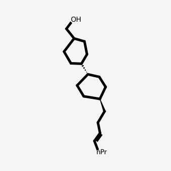 CCC/C=C/CC[C@H]1CC[C@H](C2CCC(CO)CC2)CC1